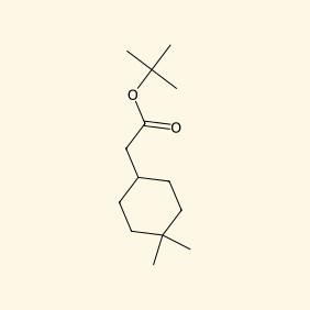 CC1(C)CCC(CC(=O)OC(C)(C)C)CC1